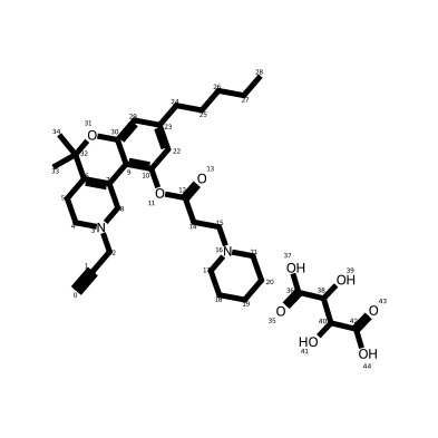 C#CCN1CCC2=C(C1)c1c(OC(=O)CCN3CCCCC3)cc(CCCCC)cc1OC2(C)C.O=C(O)C(O)C(O)C(=O)O